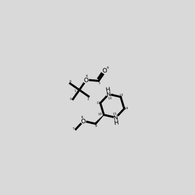 CC(C)(C)OC=O.COC[C@H]1CNCCN1